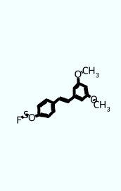 COc1cc(/C=C/c2ccc(OSF)cc2)cc(OC)c1